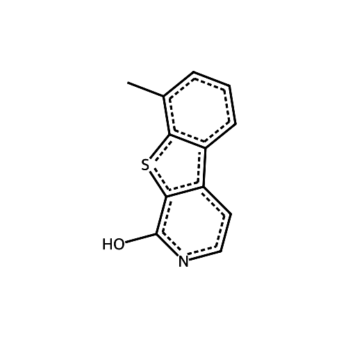 Cc1cccc2c1sc1c(O)nccc12